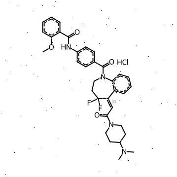 COc1ccccc1C(=O)Nc1ccc(C(=O)N2CCC(F)(F)/C(=C\C(=O)N3CCC(N(C)C)CC3)c3ccccc32)cc1.Cl